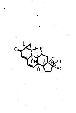 CC(=O)[C@@]1(O)CC[C@H]2[C@@H]3C=CC4=CC(=O)[C@@H]5C[C@@H]5[C@]4(C)[C@H]3[C@@H](F)C[C@@]21C